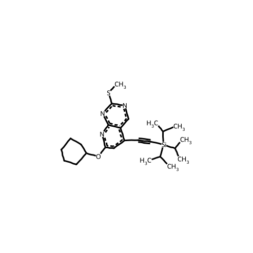 CSc1ncc2c(C#C[Si](C(C)C)(C(C)C)C(C)C)cc(OC3CCCCC3)nc2n1